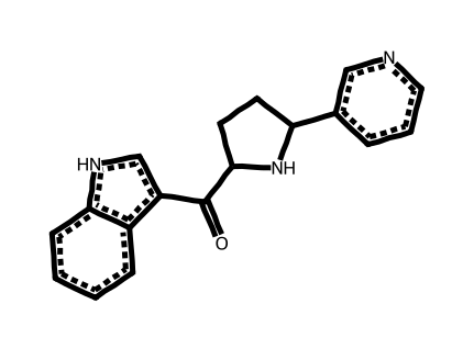 O=C(c1c[nH]c2ccccc12)C1CCC(c2cccnc2)N1